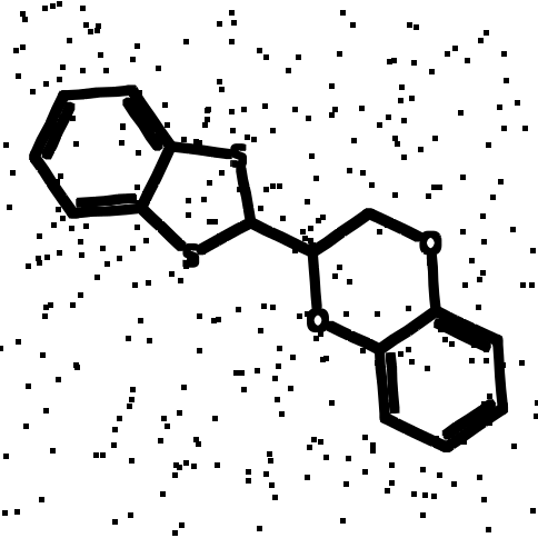 c1ccc2c(c1)OC[C](C1Sc3ccccc3S1)O2